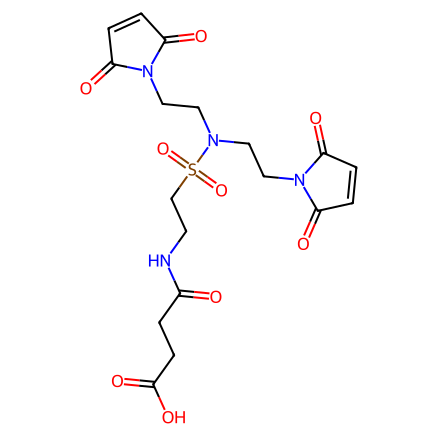 O=C(O)CCC(=O)NCCS(=O)(=O)N(CCN1C(=O)C=CC1=O)CCN1C(=O)C=CC1=O